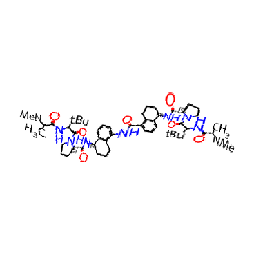 CNC(C)C(=O)NC(C(=O)N1CCC[C@H]1C(=O)N[C@@H]1CCCc2c(NC(=O)c3cccc4c3CCC[C@H]4NC(=O)[C@@H]3CCCN3C(=O)C(NC(=O)C(C)NC)C(C)(C)C)cccc21)C(C)(C)C